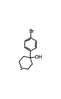 OC1(c2ccc(Br)cc2)CCSCC1